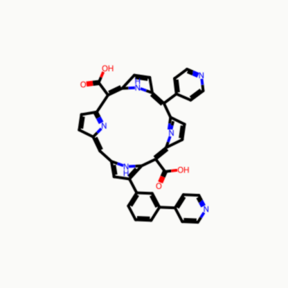 O=C(O)c1c2nc(cc3cc(-c4cccc(-c5ccncc5)c4)c([nH]3)c(C(=O)O)c3nc(c(-c4ccncc4)c4ccc1[nH]4)C=C3)C=C2